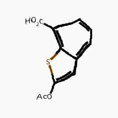 CC(=O)Oc1cc2cccc(C(=O)O)c2s1